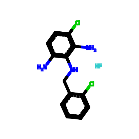 F.Nc1ccc(Cl)c(N)c1NCc1ccccc1Cl